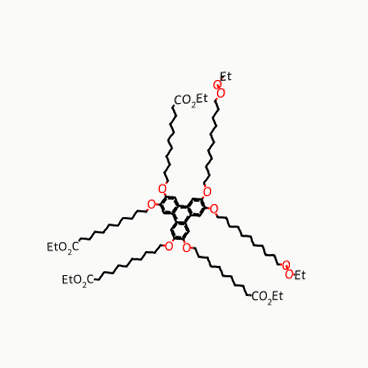 CCOOCCCCCCCCCCCOc1cc2c(cc1OCCCCCCCCCCCOOCC)c1cc(OCCCCCCCCCCC(=O)OCC)c(OCCCCCCCCCCC(=O)OCC)cc1c1cc(OCCCCCCCCCCC(=O)OCC)c(OCCCCCCCCCCC(=O)OCC)cc21